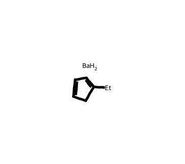 CCC1=CC=CC1.[BaH2]